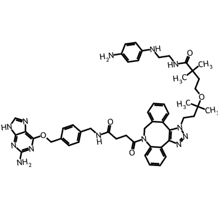 CC(C)(CCn1nnc2c1-c1ccccc1CN(C(=O)CCC(=O)NCc1ccc(COc3nc(N)nc4[nH]cnc34)cc1)c1ccccc1-2)OCCC(C)(C)C(=O)NCCNc1ccc(N)cc1